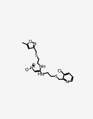 Cc1cc(CSCCN/C(=C\[N+](=O)[O-])NCCSCc2ncccc2Cl)no1